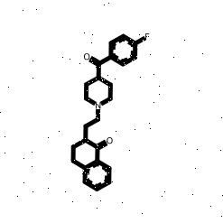 O=C(c1ccc(F)cc1)C1CCN(CCC2CCc3ccccc3C2=O)CC1